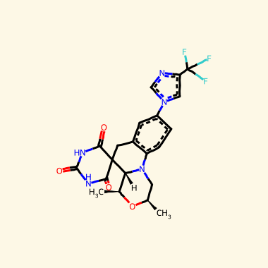 C[C@@H]1CN2c3ccc(-n4cnc(C(F)(F)F)c4)cc3CC3(C(=O)NC(=O)NC3=O)[C@H]2[C@H](C)O1